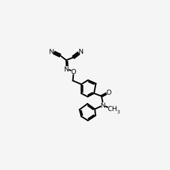 CN(C(=O)c1ccc(CON=C(C#N)C#N)cc1)c1ccccc1